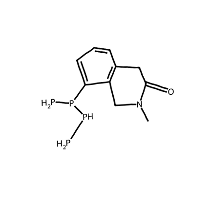 CN1Cc2c(cccc2P(P)PP)CC1=O